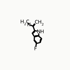 C=NC(=C)c1cc2cc(F)ccc2[nH]1